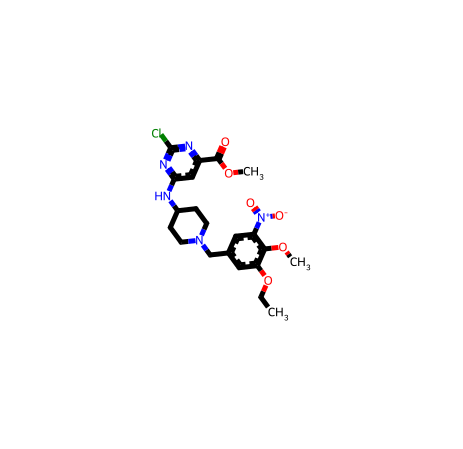 CCOc1cc(CN2CCC(Nc3cc(C(=O)OC)nc(Cl)n3)CC2)cc([N+](=O)[O-])c1OC